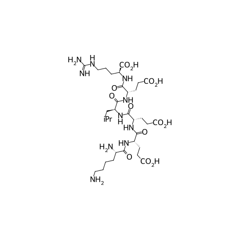 CC(C)C[C@H](NC(=O)[C@H](CCC(=O)O)NC(=O)[C@H](CCC(=O)O)NC(=O)[C@@H](N)CCCCN)C(=O)N[C@@H](CCC(=O)O)C(=O)N[C@@H](CCCNC(=N)N)C(=O)O